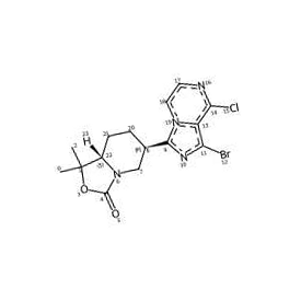 CC1(C)OC(=O)N2C[C@H](c3nc(Br)c4c(Cl)nccn34)CC[C@H]21